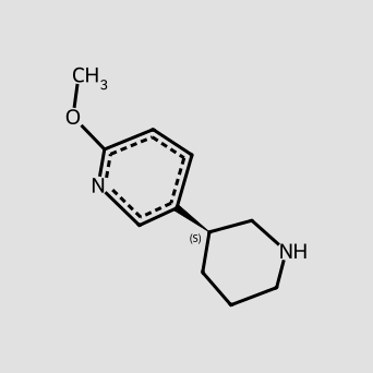 COc1ccc([C@@H]2CCCNC2)cn1